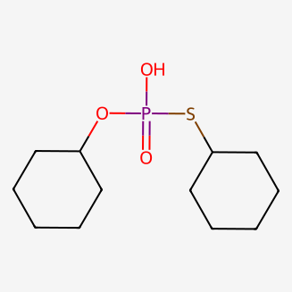 O=P(O)(OC1CCCCC1)SC1CCCCC1